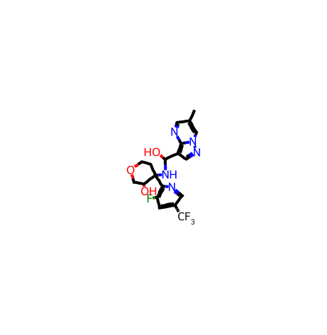 Cc1cnc2c(C(O)NC3(c4ncc(C(F)(F)F)cc4F)CCOCC3O)cnn2c1